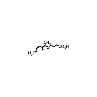 C=C/C=C\C(F)=C(/C)SCCCC(=O)O